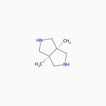 C[C@]12CNC[C@@]1(C)CNC2